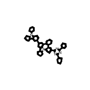 c1ccc(-c2nc(-c3ccccc3)nc(-c3ccc4c(c3)-c3ccccc3-c3cc(-c5ccc6c(c5)c5ccccc5n6-c5ccccc5)cc5c6ccccc6n-4c35)n2)cc1